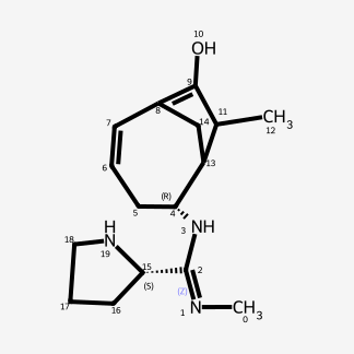 C/N=C(\N[C@@H]1CC=CC2=C(O)C(C)C1C2)[C@@H]1CCCN1